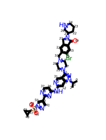 CC(C)n1nc(N2CCN(Cc3cc4c(cc3Br)C(=O)N(C3CCCNC3)C4)CC2)c2cnc(Nc3ccnc(-c4cnn(S(=O)(=O)C5CC5)c4)n3)cc21